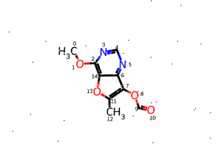 COc1ncnc2c(OC=O)c(C)oc12